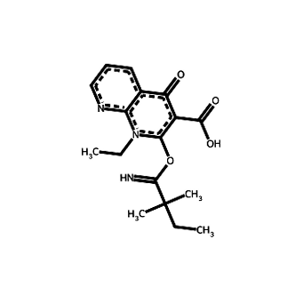 CCn1c(OC(=N)C(C)(C)CC)c(C(=O)O)c(=O)c2cccnc21